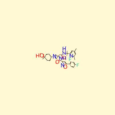 Cc1cc(C)nc(C(C)(C)NC(=O)CC2(NC(=O)c3cc(-c4ccc(F)cc4F)on3)CN(C3CCC(C)(O)CC3)C2)c1